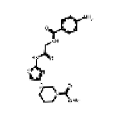 COC(=O)N1CCC[C@H](c2csc(NC(=O)CNC(=O)c3ccc(N)cc3)n2)C1